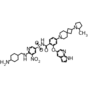 CC1CCCN1C1CC2(CCN(c3ccc(C(=O)NS(=O)(=O)c4cnc(NCC5CCC(N)CC5)c([N+](=O)[O-])c4)c(Oc4cnc5[nH]ccc5c4)c3)CC2)C1